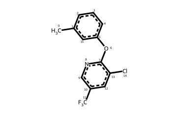 Cc1[c]ccc(Oc2ncc(C(F)(F)F)cc2Cl)c1